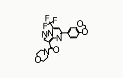 O=C(c1cnn2c(C(F)(F)F)cc(-c3ccc4c(c3)OCO4)nc12)N1CCOCC1